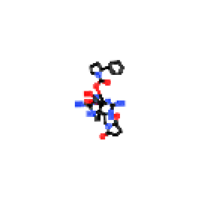 N=C1N[C@H]2C(CN3C(=O)CCC3=O)NC(=N)N3CC(OC(=O)N4CCCC4c4ccccc4)C(O)(O)[C@]23N1